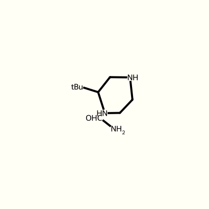 CC(C)(C)C1CNCCN1.NC=O